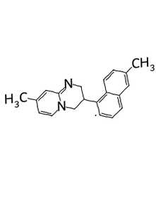 CC1=CC2=NCC(c3[c]ccc4cc(C)ccc34)CN2C=C1